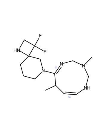 CC1/C=C\NCN(C)C/N=C\1N1CCCC2(C1)NCC2(F)F